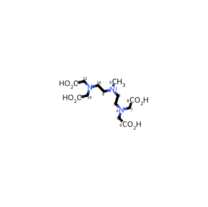 CN(CCN(CC(=O)O)CC(=O)O)CCN(CC(=O)O)CC(=O)O